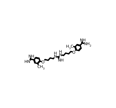 Cc1cc(C(=N)N)ccc1OCCCCNC(=N)NCCCCOc1ccc(C(=N)N)cc1C